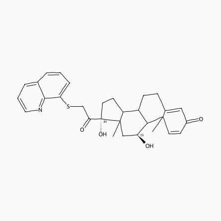 CC12C=CC(=O)C=C1CCC1C2[C@@H](O)CC2(C)C1CC[C@]2(O)C(=O)CSc1cccc2cccnc12